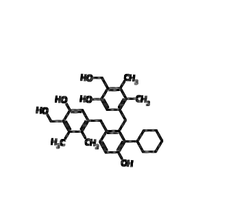 Cc1c(Cc2ccc(O)c(C3CCCCC3)c2Cc2cc(O)c(CO)c(C)c2C)cc(O)c(CO)c1C